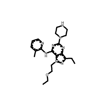 CCOCCn1nc(CC)c2nc(N3CCNCC3)nc(Nc3ncccc3C)c21